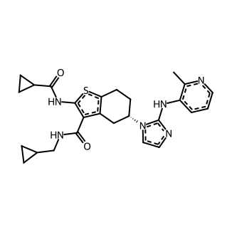 Cc1ncccc1Nc1nccn1[C@H]1CCc2sc(NC(=O)C3CC3)c(C(=O)NCC3CC3)c2C1